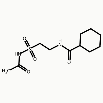 CC(=O)NS(=O)(=O)CCNC(=O)C1CCCCC1